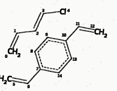 C=CC=CCl.C=Cc1ccc(C=C)cc1